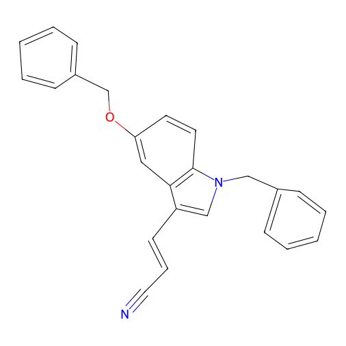 N#CC=Cc1cn(Cc2ccccc2)c2ccc(OCc3ccccc3)cc12